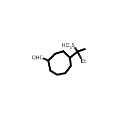 CCC(C)(C1CCCCC(C=O)CC1)S(=O)(=O)O